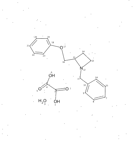 O.O=C(O)C(=O)O.c1ccc(CN2CCC2COc2ccccc2)cc1